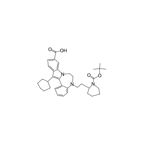 CC(C)(C)OC(=O)N1CCCCC1CCN1CCn2c(c(C3CCCCC3)c3ccc(C(=O)O)cc32)-c2ccccc21